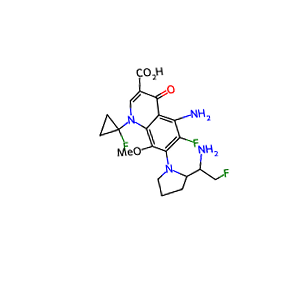 COc1c(N2CCCC2C(N)CF)c(F)c(N)c2c(=O)c(C(=O)O)cn(C3(F)CC3)c12